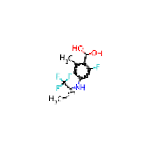 CC[C@@H](Nc1cc(C)c(C(O)O)c(F)c1)C(F)(F)F